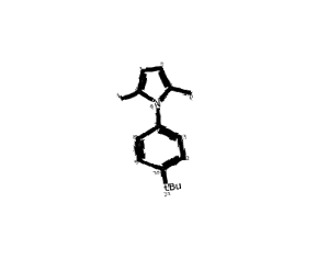 Cc1ccc(C)n1-c1ccc(C(C)(C)C)cc1